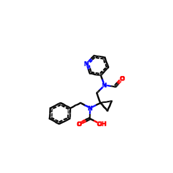 O=CN(CC1(N(Cc2ccccc2)C(=O)O)CC1)c1cccnc1